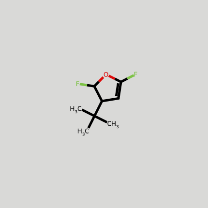 CC(C)(C)C1C=C(F)OC1F